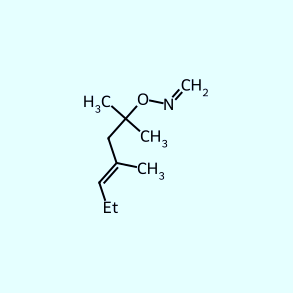 C=NOC(C)(C)C/C(C)=C/CC